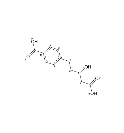 O=C(O)CC(O)CCc1ccc(C(=O)O)cc1